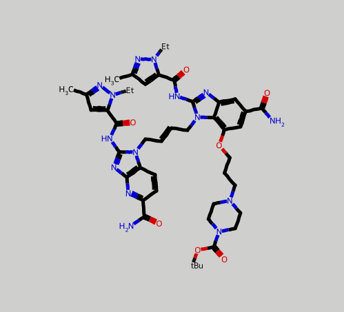 CCn1nc(C)cc1C(=O)Nc1nc2nc(C(N)=O)ccc2n1C/C=C/Cn1c(NC(=O)c2cc(C)nn2CC)nc2cc(C(N)=O)cc(OCCCN3CCN(C(=O)OC(C)(C)C)CC3)c21